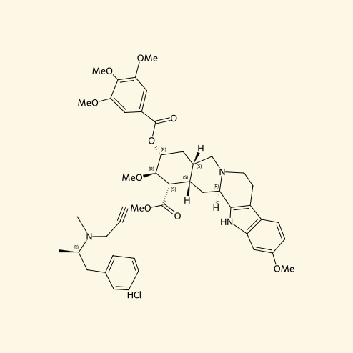 C#CCN(C)[C@H](C)Cc1ccccc1.COC(=O)[C@H]1[C@H]2C[C@@H]3c4[nH]c5cc(OC)ccc5c4CCN3C[C@H]2C[C@@H](OC(=O)c2cc(OC)c(OC)c(OC)c2)[C@@H]1OC.Cl